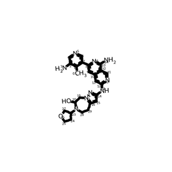 Cc1c(N)cncc1-c1cc2cc(Nc3cc4n(n3)CC(O)N(C3CCOC3)CC4)ncc2c(N)n1